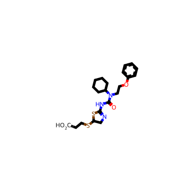 O=C(O)CCSC1CN=C(NC(=O)N(CCOc2ccccc2)C2CCCCC2)S1